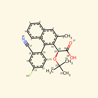 Cc1cc2ccccc2c(-c2ccc(F)cc2C#N)c1[C@H](OC(C)(C)C)C(=O)O